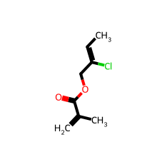 C=C(C)C(=O)OCC(Cl)=CC